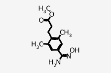 COC(=O)CCc1c(C)cc(/C(N)=N\O)cc1C